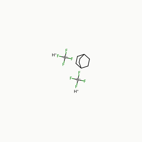 C1CC2CCC1CC2.F[B-](F)(F)F.F[B-](F)(F)F.[H+].[H+]